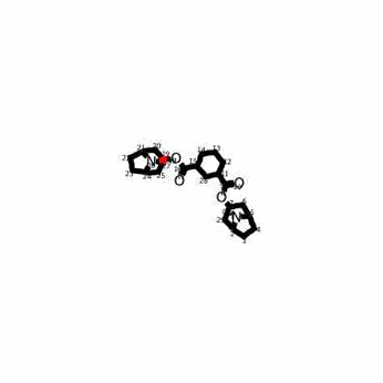 CN1C2CCC1CC(OC(=O)C1CCCC(C(=O)OC3CC4CCC(C3)N4C)C1)C2